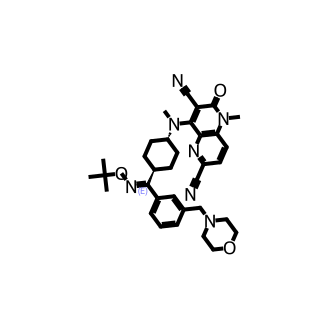 Cn1c(=O)c(C#N)c(N(C)[C@H]2CC[C@H](/C(=N\OC(C)(C)C)c3cccc(CN4CCOCC4)c3)CC2)c2nc(C#N)ccc21